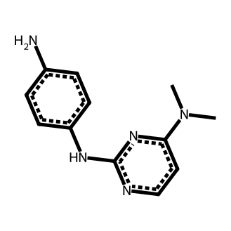 CN(C)c1ccnc(Nc2ccc(N)cc2)n1